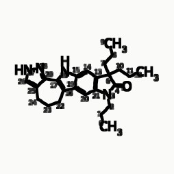 CCCN1C(=O)C(CCC)(CCC)c2cc3[nH]c4c(c3cc21)CCCc1c[nH]nc1-4